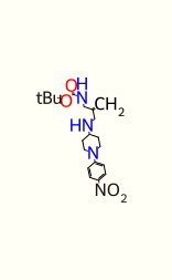 C=C(CNC(=O)OC(C)(C)C)CNC1CCN(c2ccc([N+](=O)[O-])cc2)CC1